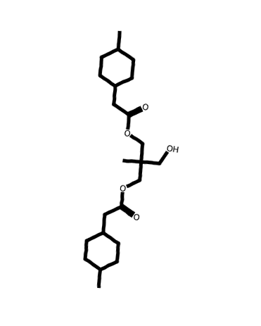 CC1CCC(CC(=O)OCC(C)(CO)COC(=O)CC2CCC(C)CC2)CC1